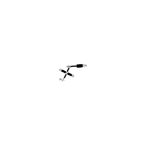 C#CNS(C)(=O)=O